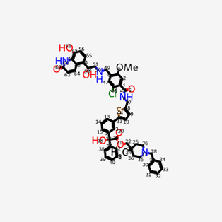 COc1cc(C(=O)NCc2ccc(-c3cccc([C@](O)(C(=O)OCC4(C)CCN(Cc5ccccc5)CC4)c4ccccc4)c3)s2)c(Cl)cc1CNC[C@H](O)c1ccc(O)c2[nH]c(=O)ccc12